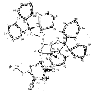 CCc1cn([C@@H]2O[C@H](COC(c3ccccc3)(c3ccccc3)c3ccccc3)[C@@H](OC(c3ccccc3)(c3ccccc3)c3ccccc3)[C@H]2I)c(=O)[nH]c1=O